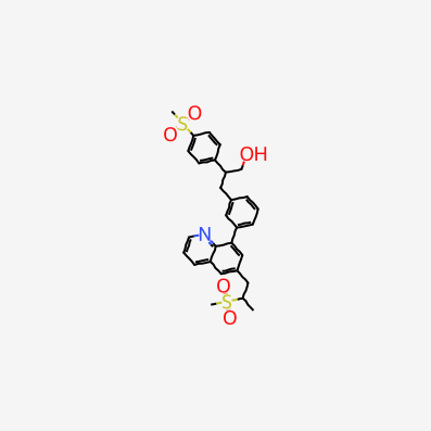 CC(Cc1cc(-c2cccc(CC(CO)c3ccc(S(C)(=O)=O)cc3)c2)c2ncccc2c1)S(C)(=O)=O